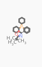 CC(C)(C)C1=N[C@H](c2ccccc2P(C2CCCCC2)C2CCCCC2)CO1